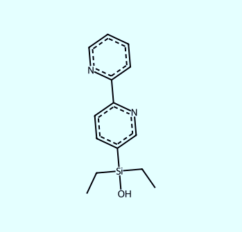 CC[Si](O)(CC)c1ccc(-c2ccccn2)nc1